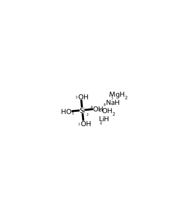 O.O[Si](O)(O)O.[LiH].[MgH2].[NaH]